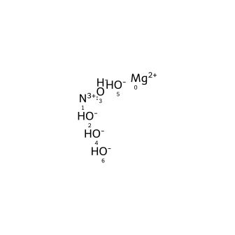 [Mg+2].[N+3].[OH-].[OH-].[OH-].[OH-].[OH-]